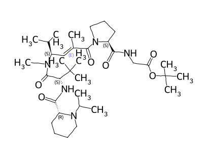 C/C(=C\[C@H](C(C)C)N(C)C(=O)[C@@H](NC(=O)[C@H]1CCCCN1C(C)C)C(C)(C)C)C(=O)N1CCC[C@H]1C(=O)NCC(=O)OC(C)(C)C